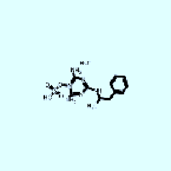 CC(Cc1ccccc1)Nc1nc(N)[n+](OS(=O)(=O)O)c(N)n1.[OH-]